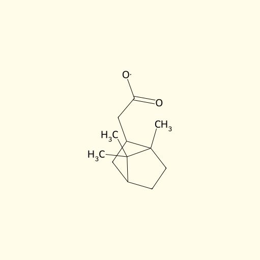 CC1(C)C2CCC1(C)C(CC([O])=O)C2